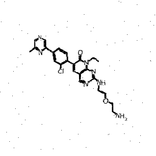 CCn1c(=O)c(-c2ccc(-c3cncc(C)n3)cc2Cl)cc2cnc(NCCOCCN)nc21